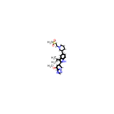 COc1cc(-c2[nH]c3ccc(C4CCCN(CCS(C)(=O)=O)C4)cc3c2C(C)C)cn2ncnc12